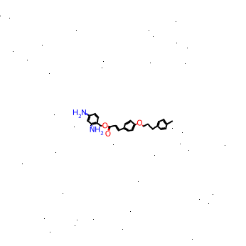 Cc1ccc(CCCOc2ccc(/C=C/C(=O)OCc3ccc(N)cc3N)cc2)cc1